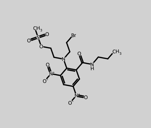 CCCNC(=O)c1cc([N+](=O)[O-])cc([N+](=O)[O-])c1N(CCBr)CCOS(C)(=O)=O